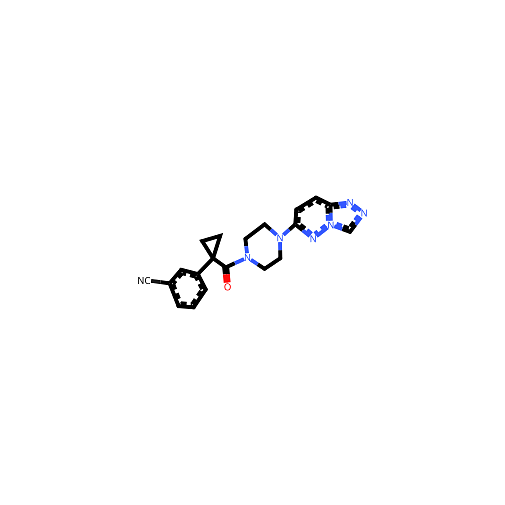 N#Cc1cccc(C2(C(=O)N3CCN(c4ccc5nncn5n4)CC3)CC2)c1